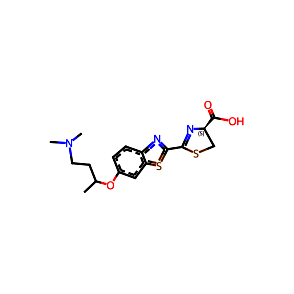 CC(CCN(C)C)Oc1ccc2nc(C3=N[C@@H](C(=O)O)CS3)sc2c1